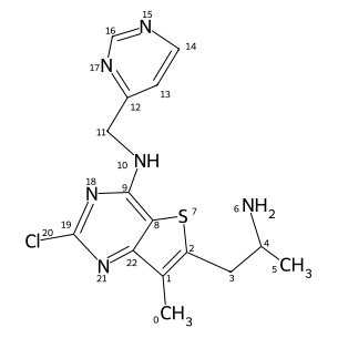 Cc1c(CC(C)N)sc2c(NCc3ccncn3)nc(Cl)nc12